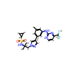 Cc1cc(Nc2nccc(C(F)F)n2)cc(-c2cnn(CC(C)(C)NS(=O)(=O)C3CC3)c2)c1